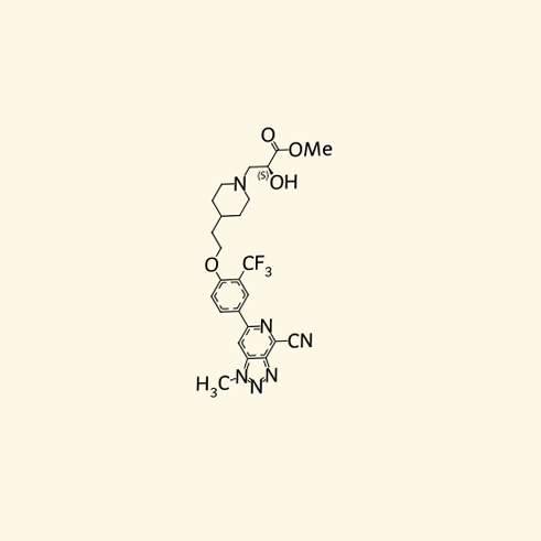 COC(=O)[C@@H](O)CN1CCC(CCOc2ccc(-c3cc4c(nnn4C)c(C#N)n3)cc2C(F)(F)F)CC1